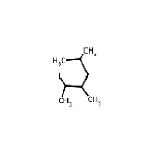 CC(C)CC(C)C(C)I